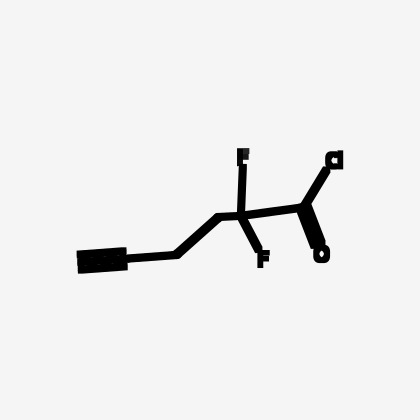 C#CCCC(F)(F)C(=O)Cl